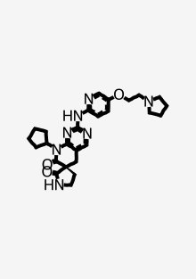 O=C1NCC[C@@]12Cc1cnc(Nc3ccc(OCCN4CCCC4)cn3)nc1N(C1CCCC1)C2=O